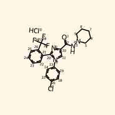 Cl.O=C(NN1CCCCC1)c1cn(-c2ccc(Cl)cc2)c(-c2ccccc2C(F)(F)F)n1